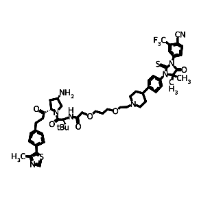 Cc1ncsc1-c1ccc(CCC(=O)[C@@H]2C[C@@H](N)CN2C(=O)[C@@H](NC(=O)COCCCOCCN2CCC(c3ccc(N4C(=S)N(c5ccc(C#N)c(C(F)(F)F)c5)C(=O)C4(C)C)cc3)CC2)C(C)(C)C)cc1